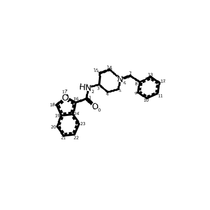 O=C(NC1CCN(Cc2ccccc2)CC1)c1occ2ccccc12